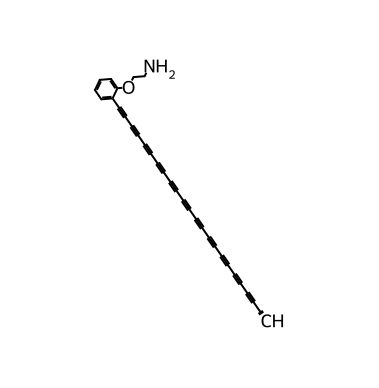 C#CC#CC#CC#CC#CC#CC#CC#CC#CC#CC#CC#Cc1ccccc1OCCN